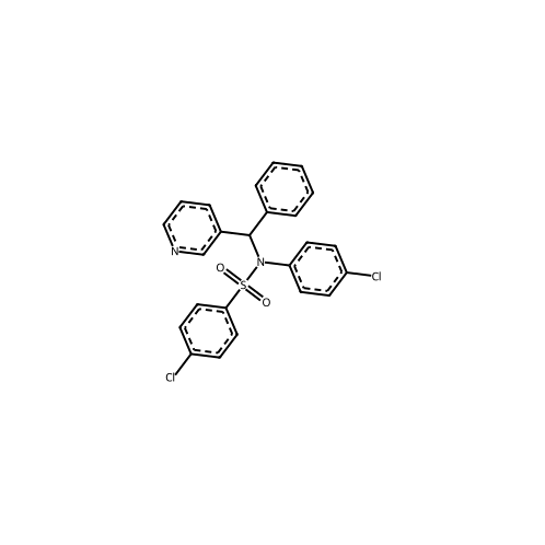 O=S(=O)(c1ccc(Cl)cc1)N(c1ccc(Cl)cc1)C(c1ccccc1)c1cccnc1